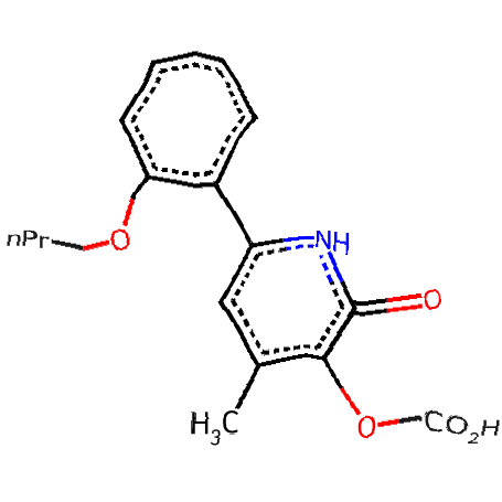 CCCOc1ccccc1-c1cc(C)c(OC(=O)O)c(=O)[nH]1